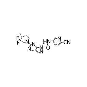 CC1CCN(c2ncc3cnn(CC(=O)Nc4ccc(C#N)nc4)c3n2)CC1(F)F